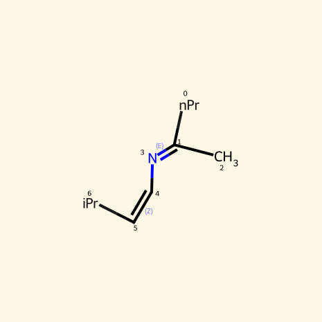 CCC/C(C)=N/C=C\C(C)C